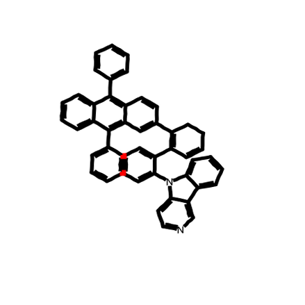 C1=CC(c2ccccc2-n2c3ccccc3c3cnccc32)=C(c2ccc3c(-c4ccccc4)c4ccccc4c(-c4ccccc4)c3c2)CC1